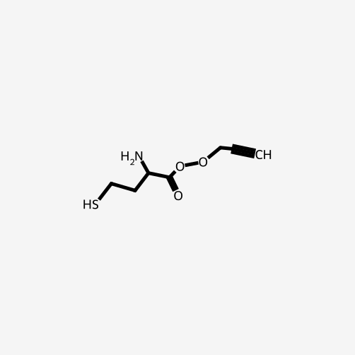 C#CCOOC(=O)C(N)CCS